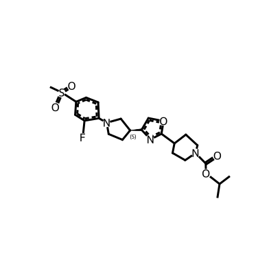 CC(C)OC(=O)N1CCC(c2nc([C@H]3CCN(c4ccc(S(C)(=O)=O)cc4F)C3)co2)CC1